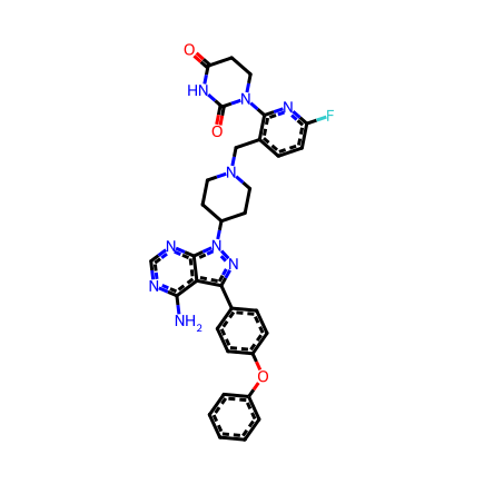 Nc1ncnc2c1c(-c1ccc(Oc3ccccc3)cc1)nn2C1CCN(Cc2ccc(F)nc2N2CCC(=O)NC2=O)CC1